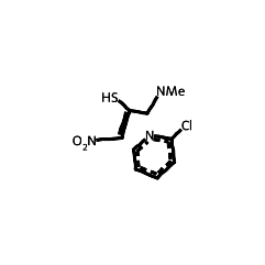 CNCC(S)=C[N+](=O)[O-].Clc1ccccn1